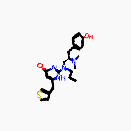 C=CCN(C[C@@H](Cc1ccc(O)cc1)N(C)C)c1nc(=O)cc(Cc2ccsc2)[nH]1